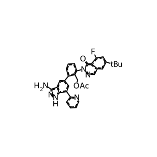 CC(=O)OCc1c(-c2cc(-c3ccccn3)c3[nH]nc(N)c3c2)cccc1-n1ncc2cc(C(C)(C)C)cc(F)c2c1=O